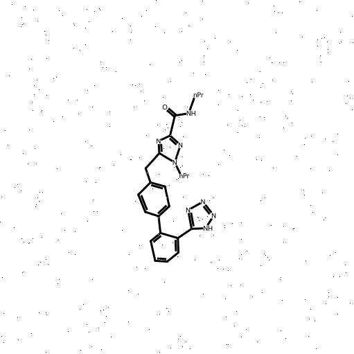 CCCNC(=O)c1nc(Cc2ccc(-c3ccccc3-c3nnn[nH]3)cc2)n(CCC)n1